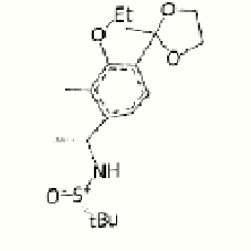 CCOc1c(C2(C)OCCO2)ccc([C@@H](C)N[S@@+]([O-])C(C)(C)C)c1C